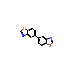 c1nc2cc(-c3ccc4scnc4c3)ccc2s1